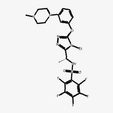 CCn1c(Oc2cccc(N3CCN(C)CC3)c2)nnc1[C@@H](C)NS(=O)(=O)c1c(F)c(F)c(F)c(F)c1F